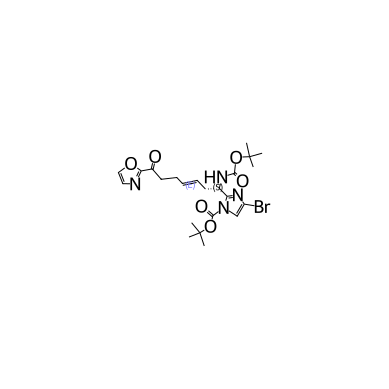 CC(C)(C)OC(=O)N[C@@H](C/C=C/CCC(=O)c1ncco1)c1nc(Br)cn1C(=O)OC(C)(C)C